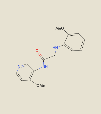 COc1ccccc1NCC(=O)Nc1cnccc1OC